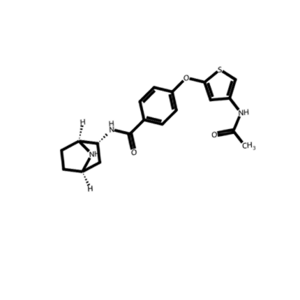 CC(=O)Nc1csc(Oc2ccc(C(=O)N[C@@H]3C[C@H]4CC[C@@H]3N4)cc2)c1